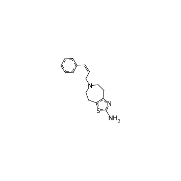 Nc1nc2c(s1)CCN(C/C=C\c1ccccc1)CC2